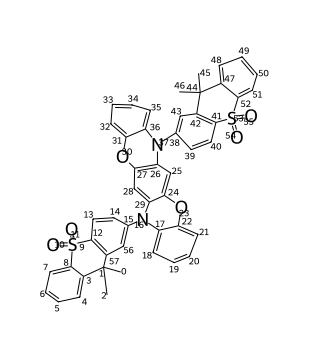 CC1(C)c2ccccc2S(=O)(=O)c2ccc(-n3c4ccccc4oc4cc5c(cc43)oc3ccccc3n5-c3ccc4c(c3)C(C)(C)c3ccccc3S4(=O)=O)cc21